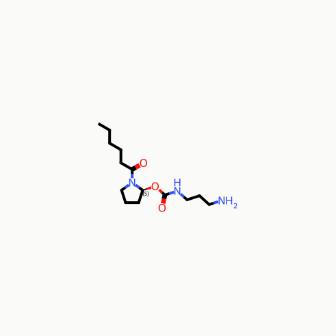 CCCCCC(=O)N1CCC[C@@H]1OC(=O)NCCCN